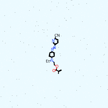 C=C(C)C(=O)OCCN(CC)c1ccc(/N=N/c2ccc(C#N)nc2)cc1